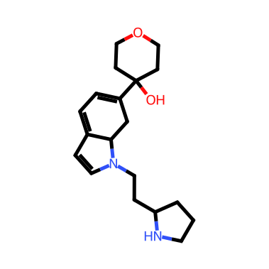 OC1(C2=CC=C3C=CN(CCC4CCCN4)C3C2)CCOCC1